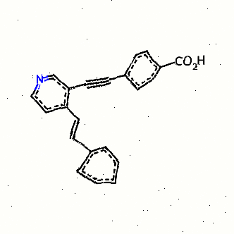 O=C(O)c1ccc(C#Cc2cnccc2C=Cc2ccccc2)cc1